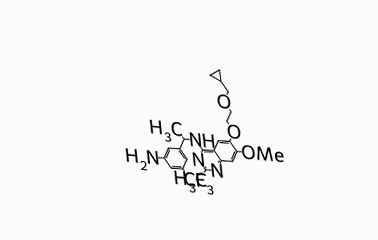 COc1cc2nc(C)nc(NC(C)c3cc(N)cc(C(F)(F)F)c3)c2cc1OCCOCC1CC1